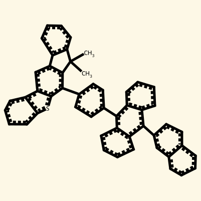 CC1(C)c2ccccc2-c2cc3c(sc4ccccc43)c(-c3ccc(-c4c5ccccc5c(-c5ccc6ccccc6c5)c5ccccc45)cc3)c21